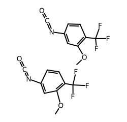 COc1cc(N=C=O)ccc1C(F)(F)F.COc1cc(N=C=O)ccc1C(F)(F)F